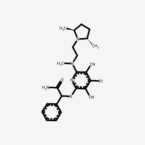 CCc1c(C#N)c(SC(C(N)=O)c2ccccc2)nc(N(C)CCN2[C@@H](C)CC[C@@H]2C)c1C#N